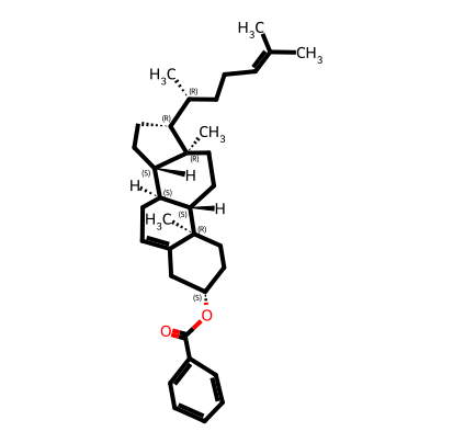 CC(C)=CCC[C@@H](C)[C@H]1CC[C@H]2[C@@H]3CC=C4C[C@@H](OC(=O)c5ccccc5)CC[C@]4(C)[C@H]3CC[C@]12C